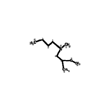 CCCCN(C)CC(C)OC